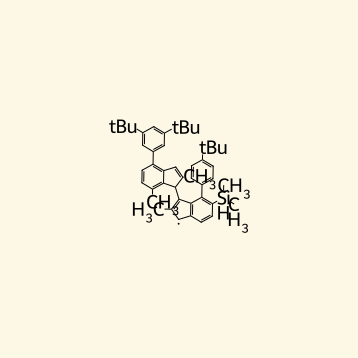 CC1=Cc2c(-c3cc(C(C)(C)C)cc(C(C)(C)C)c3)ccc(C)c2C1C1=C(C)[CH]c2ccc([SiH](C)C)c(-c3ccc(C(C)(C)C)cc3)c21